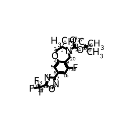 C[C@H]1COc2cc(-c3noc(C(F)(F)F)n3)cc(F)c2CN1C(=O)OC(C)(C)C